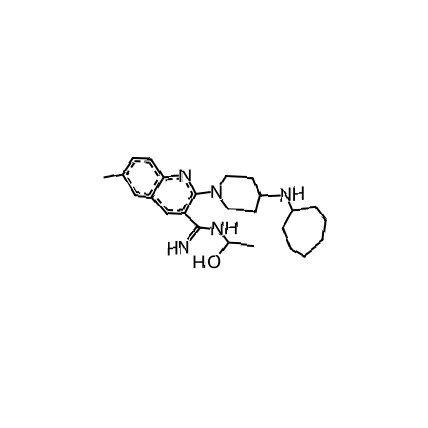 Cc1ccc2nc(N3CCC(NC4CCCCCC4)CC3)c(C(=N)NC(C)O)cc2c1